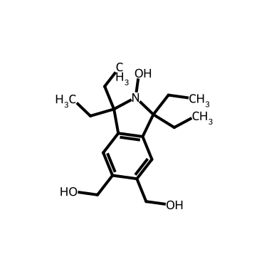 CCC1(CC)c2cc(CO)c(CO)cc2C(CC)(CC)N1O